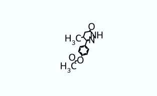 CC(=O)Oc1ccc(C2=NNC(=O)CC2C)cc1